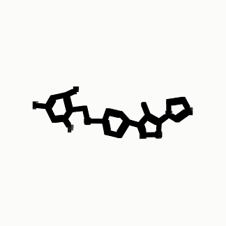 Cc1c(-c2ccc(OCc3c(F)cc(F)cc3F)cc2)noc1-n1ccnc1